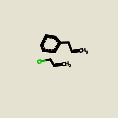 C=CCCl.C=CCc1ccccc1